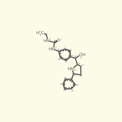 CCNC(=S)Nc1ccc(C(O)C2CCC(c3ccccc3)N2)cc1